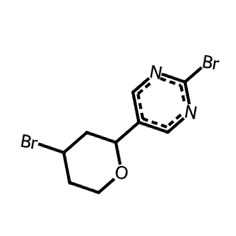 Brc1ncc(C2CC(Br)CCO2)cn1